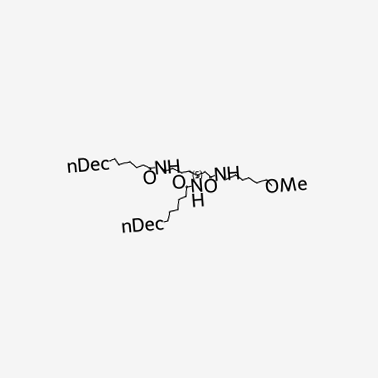 CCCCCCCCCCCCCCCC(=O)NCCCC[C@@H](CC(=O)NCCCCCCOC)NC(=O)CCCCCCCCCCCCCCC